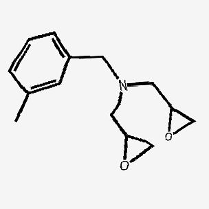 Cc1cccc(CN(CC2CO2)CC2CO2)c1